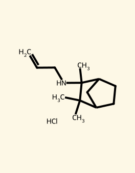 C=CCNC1(C)C2CCC(C2)C1(C)C.Cl